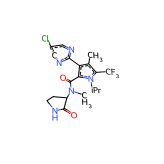 Cc1c(-c2ncc(Cl)cn2)c(C(=O)N(C)C2CCNC2=O)n(C(C)C)c1C(F)(F)F